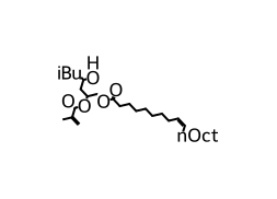 C=C(C)C(=O)OC(COC(=O)CCCCCCC/C=C\CCCCCCCC)CC(O)C(C)CC